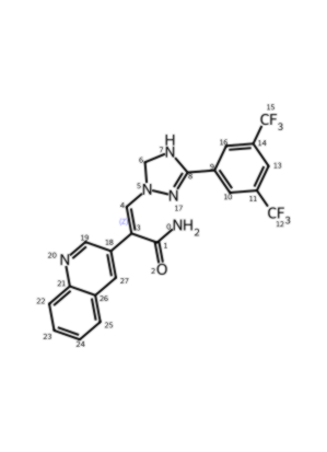 NC(=O)/C(=C\N1CNC(c2cc(C(F)(F)F)cc(C(F)(F)F)c2)=N1)c1cnc2ccccc2c1